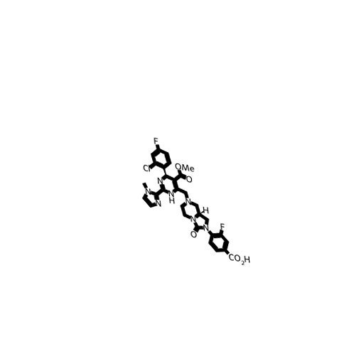 COC(=O)C1=C(CN2CCN3C(=O)N(c4ccc(C(=O)O)cc4F)C[C@@H]3C2)NC(c2nccn2C)=N[C@H]1c1ccc(F)cc1Cl